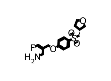 NC/C(=C\F)COc1ccc(S(=O)(=O)C[C@@H]2CCOC2)cc1